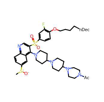 CCCCCCCCCCCCCCOc1ccc(S(=O)(=O)c2cnc3ccc([S+](C)[O-])cc3c2N2CCC(N3CCC(N4CCN(C(C)=O)CC4)CC3)CC2)cc1F